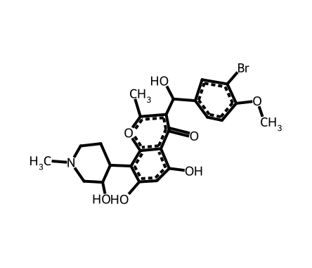 COc1ccc(C(O)c2c(C)oc3c(C4CCN(C)CC4O)c(O)cc(O)c3c2=O)cc1Br